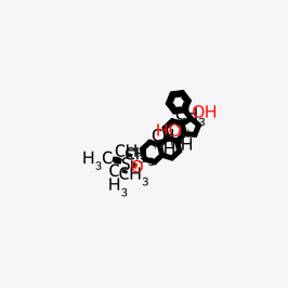 CC(C)(C)[Si](C)(C)OC1CC[C@@]2(C)C(CC[C@@H]3[C@H]2CC[C@]2(C)C(O)(c4ccccc4)CC[C@@]32O)C1